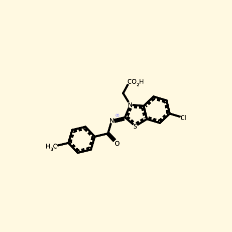 Cc1ccc(C(=O)/N=c2\sc3cc(Cl)ccc3n2CC(=O)O)cc1